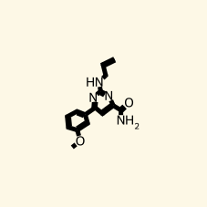 C=CCNc1nc(C(N)=O)cc(-c2cccc(OC)c2)n1